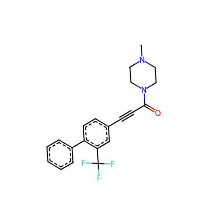 CN1CCN(C(=O)C#Cc2ccc(-c3ccccc3)c(C(F)(F)F)c2)CC1